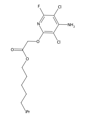 CC(C)CCCCCOC(=O)COc1nc(F)c(Cl)c(N)c1Cl